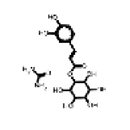 NC(N)=O.O=C(C=Cc1ccc(O)c(O)c1)OC1C(O)C(O)C(O)C(O)C1O